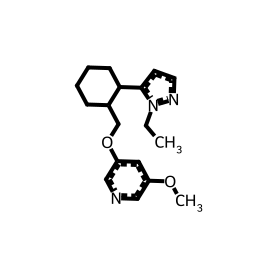 CCn1nccc1C1CCCCC1COc1cncc(OC)c1